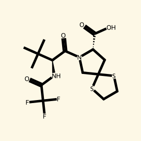 CC(C)(C)[C@H](NC(=O)C(F)(F)F)C(=O)N1CC2(C[C@H]1C(=O)O)SCCS2